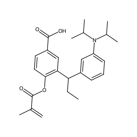 C=C(C)C(=O)Oc1ccc(C(=O)O)cc1C(CC)c1cccc(N(C(C)C)C(C)C)c1